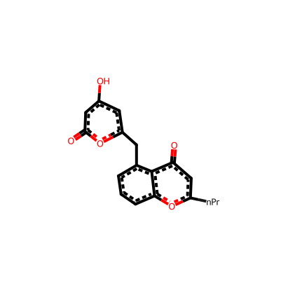 CCCc1cc(=O)c2c(Cc3cc(O)cc(=O)o3)cccc2o1